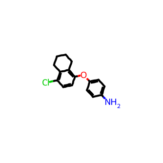 Nc1ccc(Oc2ccc(Cl)c3c2CCCC3)cc1